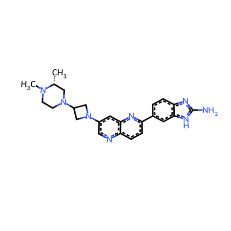 C[C@@H]1CN(C2CN(c3cnc4ccc(-c5ccc6nc(N)[nH]c6c5)nc4c3)C2)CCN1C